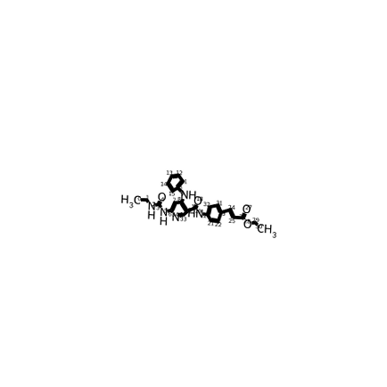 CCNC(=O)Nc1cc(Nc2ccccc2)c(C(=O)Nc2ccc(/C=C/C(=O)OCC)cc2)cn1